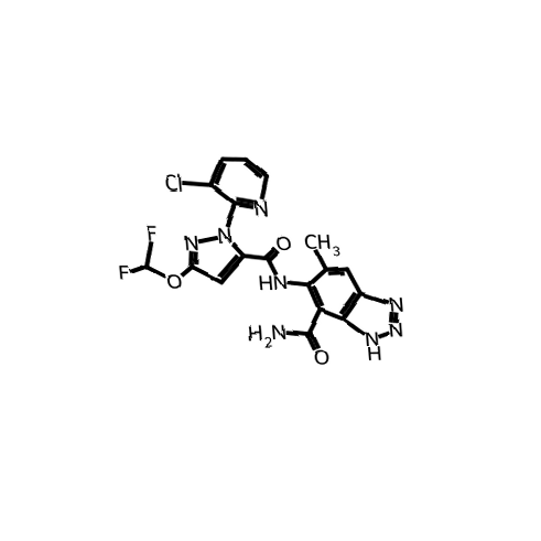 Cc1cc2nn[nH]c2c(C(N)=O)c1NC(=O)c1cc(OC(F)F)nn1-c1ncccc1Cl